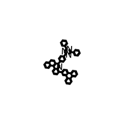 c1ccc(-c2nc(-c3ccccc3)nc(-c3ccc(-c4nc5c(-c6ccc7c8ccccc8c8ccccc8c7c6)cccc5c5c4ccc4ccccc45)cc3)n2)cc1